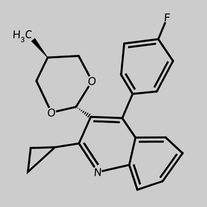 C[C@H]1CO[C@H](c2c(C3CC3)nc3ccccc3c2-c2ccc(F)cc2)OC1